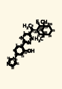 C=C(c1cnc(-c2ccc(-n3ccnc3)cc2O)nn1)[C@@H]1C[C@@]2(C)CCC[C@](C)(C2)[C@@H]1F